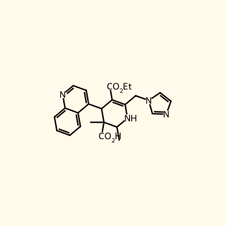 CCOC(=O)C1=C(Cn2ccnc2)NC(C)C(C)(C(=O)O)C1c1ccnc2ccccc12